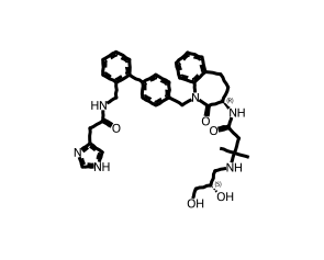 CC(C)(CC(=O)N[C@@H]1CCc2ccccc2N(Cc2ccc(-c3ccccc3CNC(=O)Cc3c[nH]cn3)cc2)C1=O)NC[C@H](O)CO